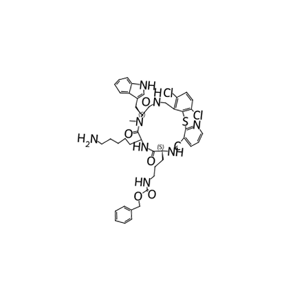 CN1C(=O)C(CCCCCN)NC(=O)[C@H](CCCNC(=O)OCc2ccccc2)NCc2cccnc2Sc2c(Cl)ccc(Cl)c2CNC(=O)[C@@H]1Cc1c[nH]c2ccccc12